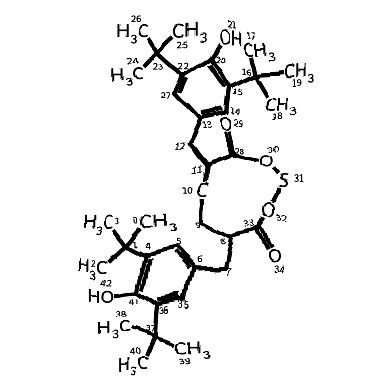 CC(C)(C)c1cc(CC2CCC(Cc3cc(C(C)(C)C)c(O)c(C(C)(C)C)c3)C(=O)OSOC2=O)cc(C(C)(C)C)c1O